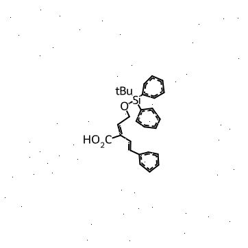 CC(C)(C)[Si](OC/C=C(\C=C\c1ccccc1)C(=O)O)(c1ccccc1)c1ccccc1